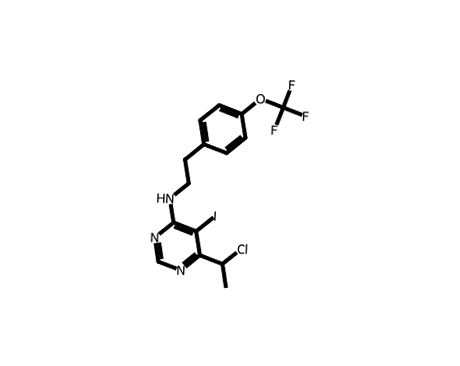 CC(Cl)c1ncnc(NCCc2ccc(OC(F)(F)F)cc2)c1I